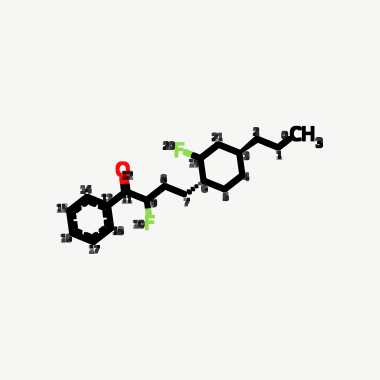 CCC[C@H]1CC[C@H](CCC(F)C(=O)c2ccccc2)C(F)C1